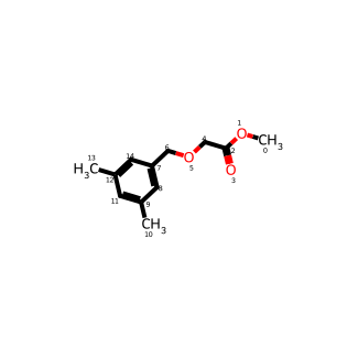 COC(=O)COCc1cc(C)cc(C)c1